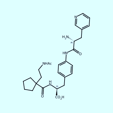 CC(=O)NCCC1(C(=O)N[C@@H](Cc2ccc(NC(=O)[C@H](N)Cc3cccnc3)cc2)C(=O)O)CCCC1